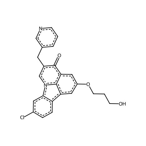 O=c1c(Cc2cccnc2)cn2c3cc(Cl)ccc3c3cc(OCCCO)cc1c32